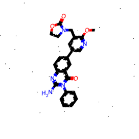 COc1ncc(-c2ccc3nc(N)n(-c4ccccc4)c(=O)c3c2)cc1CN1CCOC1=O